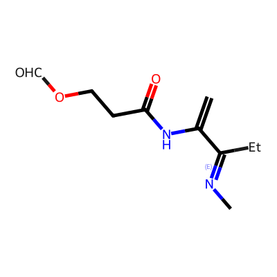 C=C(NC(=O)CCOC=O)/C(CC)=N/C